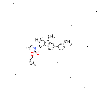 C=CCOC(=O)N(C)CCC1c2ccc(-c3cccc(C)c3)cc2C(C)[C@H]1C